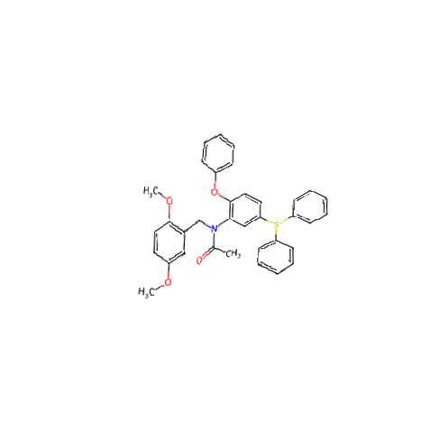 COc1ccc(OC)c(CN(C(C)=O)c2cc([S+](c3ccccc3)c3ccccc3)ccc2Oc2ccccc2)c1